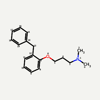 CN(C)CCCOc1ccccc1Cc1ccccc1